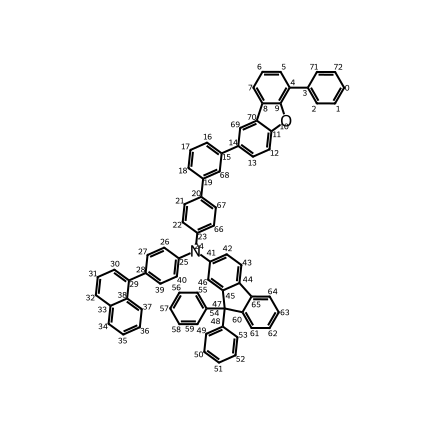 c1ccc(-c2cccc3c2oc2ccc(-c4cccc(-c5ccc(N(c6ccc(-c7cccc8ccccc78)cc6)c6ccc7c(c6)C(c6ccccc6)(c6ccccc6)c6ccccc6-7)cc5)c4)cc23)cc1